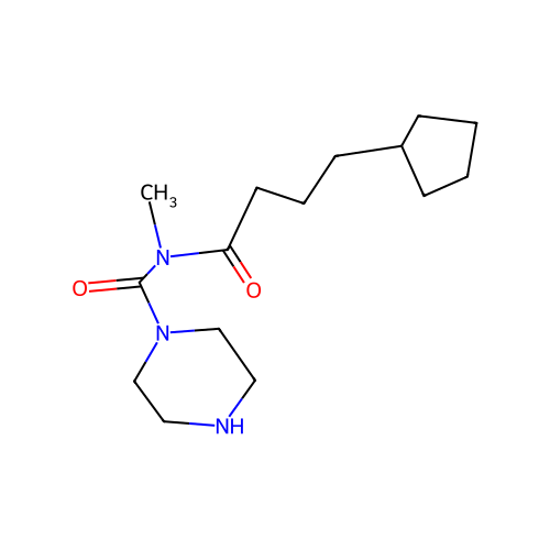 CN(C(=O)CCCC1CCCC1)C(=O)N1CCNCC1